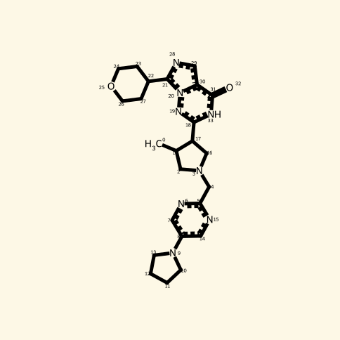 CC1CN(Cc2ncc(N3CCCC3)cn2)CC1c1nn2c(C3CCOCC3)ncc2c(=O)[nH]1